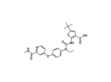 CCN(C(=O)Nc1sc(C(C)(C)C)cc1C(=O)O)c1ccc(Oc2ccnc(C(=O)NC)c2)cc1